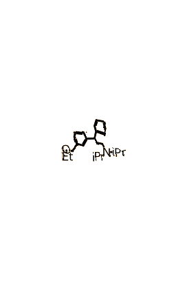 CCOCc1cc[c]c(C(CCN(C(C)C)C(C)C)c2ccccc2)c1